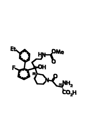 CCc1cccc(-c2c(F)cccc2[C@](O)(CCCNC(=O)OC)[C@@H]2CCCN(C(=O)C[C@H](N)C(=O)O)C2)c1